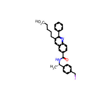 C[C@H](NC(=O)c1ccc2nc(-c3ccccc3)c(CCCCC(=O)O)cc2c1)c1ccc(CI)cc1